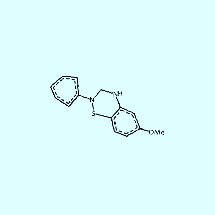 COc1ccc2c(c1)NCN(c1ccccc1)S2